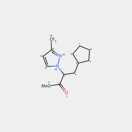 COC(=O)C(CC1CCCC1)n1ccc(C(F)(F)F)n1